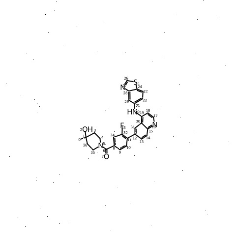 CC1(O)CCN(C(=O)c2ccc(-c3ccc4nccc(Nc5ccc6scnc6c5)c4c3)c(F)c2)CC1